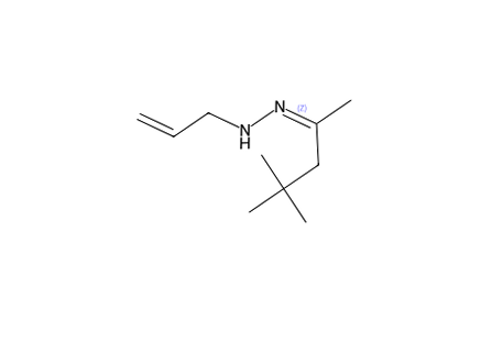 C=CCN/N=C(/C)CC(C)(C)C